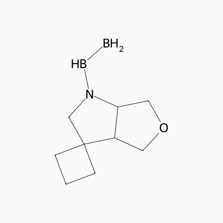 BBN1CC2(CCC2)C2COCC21